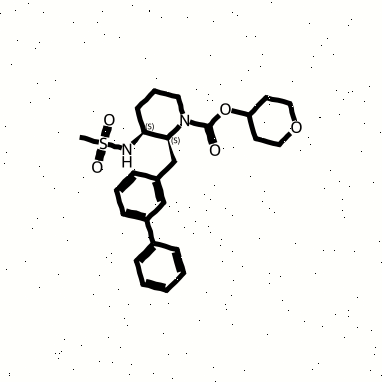 CS(=O)(=O)N[C@H]1CCCN(C(=O)OC2CCOCC2)[C@H]1Cc1cccc(-c2ccccc2)c1